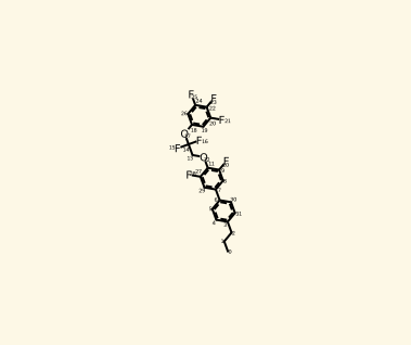 CCCc1ccc(-c2cc(F)c(OCC(F)(F)Oc3cc(F)c(F)c(F)c3)c(F)c2)cc1